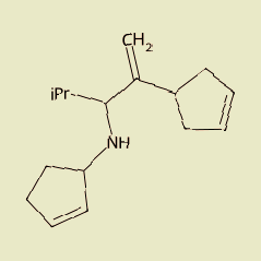 C=C(C1CC=CC1)C(NC1C=CCC1)C(C)C